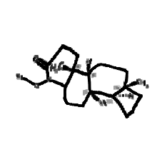 CCON1C(=O)CC[C@@]2(C)C1CC[C@@H]1[C@H]2CC[C@]2(C)CCC[C@@H]12